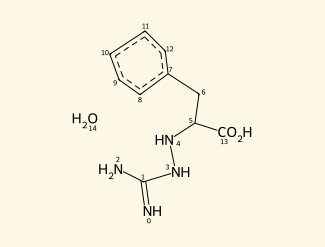 N=C(N)NNC(Cc1ccccc1)C(=O)O.O